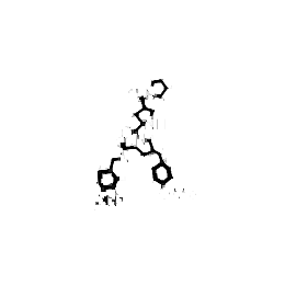 COc1ccc(CC2CC(C(=O)NCc3ccc4c(c3)nnn4C)N(C(=O)C3CC(C(=O)N4CCCC4)CN3)C2)cc1